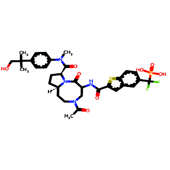 CC(=O)N1CC[C@H]2CC[C@@H](C(=O)N(C)c3ccc(C(C)(C)CO)cc3)N2C(=O)C(NC(=O)c2cc3cc(C(F)(F)P(=O)(O)O)ccc3s2)C1